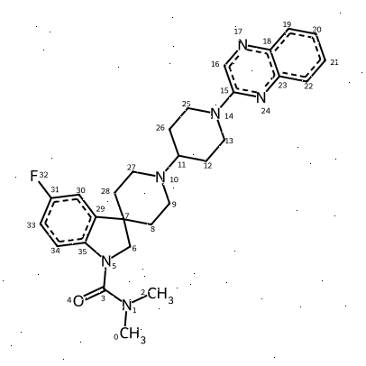 CN(C)C(=O)N1CC2(CCN(C3CCN(c4cnc5ccccc5n4)CC3)CC2)c2cc(F)ccc21